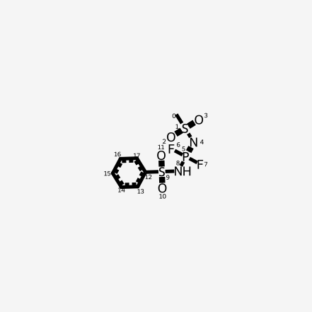 CS(=O)(=O)N=P(F)(F)NS(=O)(=O)c1ccccc1